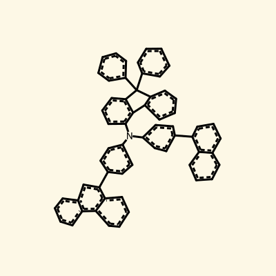 c1ccc(C2(c3ccccc3)c3ccccc3-c3c(N(c4ccc(-c5cccc6ccccc56)cc4)c4ccc(-c5cc6ccccc6c6ccccc56)cc4)cccc32)cc1